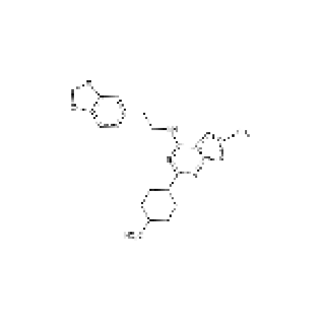 Cc1cc2c(NCCc3ccc4c(c3)OCO4)nc(C3CCC(C(=O)O)CC3)nc2s1